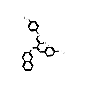 CC(=COc1ccc(C)cc1)C(=Nc1ccc(C)cc1)Oc1ccc2ccccc2c1